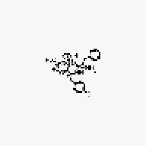 C[C@@H](O)[C@H](NC(=O)[C@H](Cc1ccc(O)cc1)NC(=O)[C@@H](N)Cc1ccccc1)C(=O)O